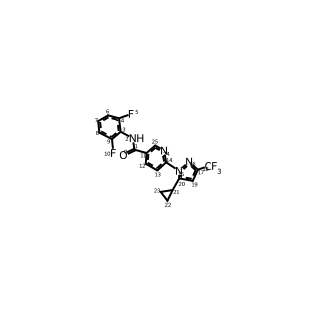 O=C(Nc1c(F)cccc1F)c1ccc(-n2nc(C(F)(F)F)cc2C2CC2)nc1